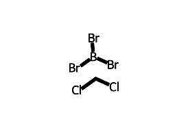 BrB(Br)Br.ClCCl